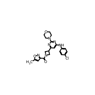 Cc1cc(C(=O)N2CC(c3cc(Nc4ccc(Cl)cc4)nc(N4CCOCC4)n3)C2)no1